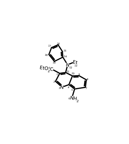 CCOC(=O)c1cnc2c(N)cccc2c1N(CC)c1ccccc1